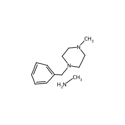 CN.CN1CCN(Cc2ccccc2)CC1